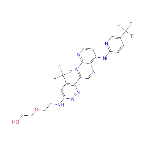 OCCOCCNc1cc(C(F)(F)F)c(-c2cnc3c(Nc4ccc(C(F)(F)F)cn4)ccnc3n2)nn1